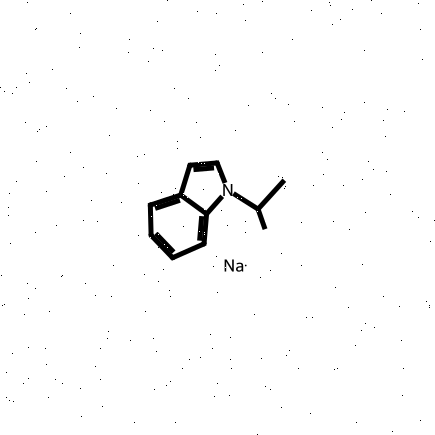 CC(C)n1ccc2ccccc21.[Na]